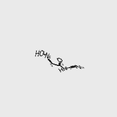 N#CNC(=O)C=NO